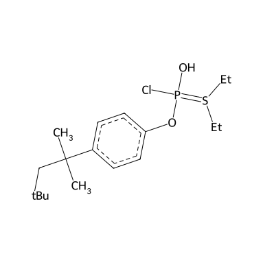 CCS(CC)=P(O)(Cl)Oc1ccc(C(C)(C)CC(C)(C)C)cc1